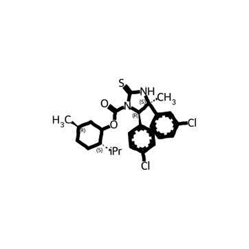 CC(C)[C@@H]1CC[C@@H](C)CC1OC(=O)N1C(=S)N[C@@](C)(c2cccc(Cl)c2)[C@H]1c1ccc(Cl)cc1